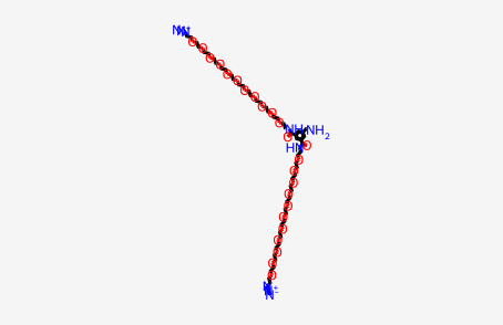 [N-]=[N+]=NCCOCCOCCOCCOCCOCCOCCOCCOCCOCCOCCOCCNC(=O)c1cc(CN)cc(C(=O)NCCOCCOCCOCCOCCOCCOCCOCCOCCOCCOCCOCCN=[N+]=[N-])c1